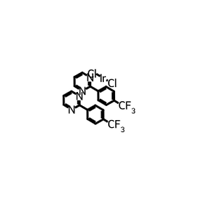 FC(F)(F)c1ccc(-c2ncccn2)cc1.FC(F)(F)c1ccc(-c2ncccn2)cc1.[Cl][Ir][Cl]